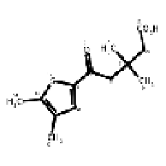 Cc1cc(C(=O)CC(C)(C)CC(=O)O)sc1C